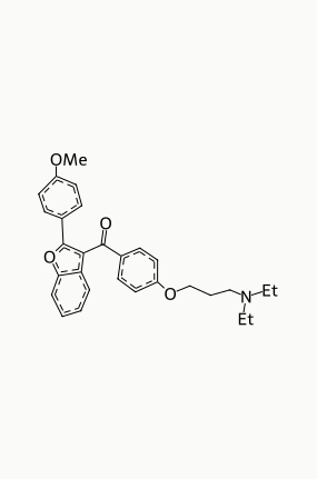 CCN(CC)CCCOc1ccc(C(=O)c2c(-c3ccc(OC)cc3)oc3ccccc23)cc1